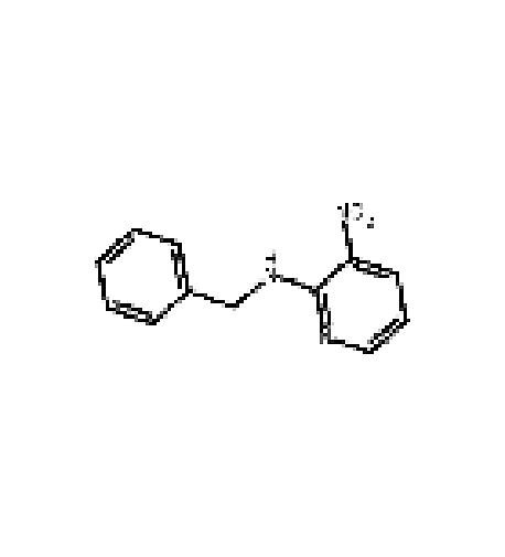 O=[N+]([O-])c1cccnc1NCc1ccccc1